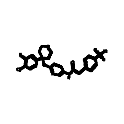 CCS(=O)(=O)c1ccc(CC(=O)Nc2ccc(OC3(c4ccc(Cl)c(F)c4)CCOCC3)nc2)cc1